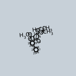 COC(=O)C1CN(C(=O)OC(C)(C)C)CC(=O)N1c1cccc(-c2ccccc2)c1